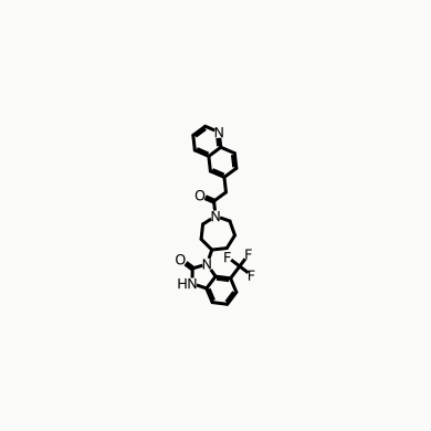 O=C(Cc1ccc2ncccc2c1)N1CCCC(n2c(=O)[nH]c3cccc(C(F)(F)F)c32)CC1